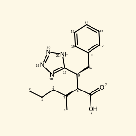 CCCC(C)[C@H](C(=O)O)[C@H](Cc1ccccc1)c1nnn[nH]1